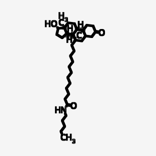 CCCCCNC(=O)CCCCCCCCCCCC1CC2CC(=O)CC[C@]2(C)[C@@H]2CC[C@]3(C)C(O)CC[C@H]3[C@H]12